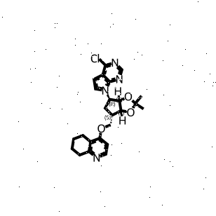 CC1(C)O[C@@H]2[C@H](COc3ccnc4c3CCCC4)C[C@@H](n3ccc4c(Cl)ncnc43)[C@@H]2O1